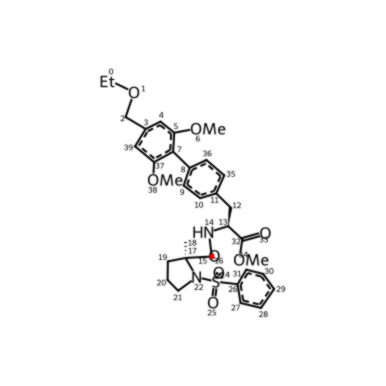 CCOCc1cc(OC)c(-c2ccc(C[C@H](NC(=O)[C@]3(C)CCCN3S(=O)(=O)c3ccccc3)C(=O)OC)cc2)c(OC)c1